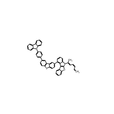 C=C/C=C\C=C(/C)n1c2cccc(-c3ccc4sc5ccc(-c6ccc(-n7c8ccccc8c8ccccc87)cc6)cc5c4c3)c2c2c3ccccc3oc21